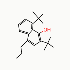 CCCc1cc(C(C)(C)C)c(O)c2c(C(C)(C)C)cccc12